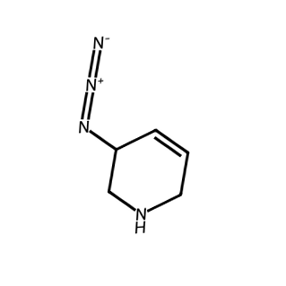 [N-]=[N+]=NC1C=CCNC1